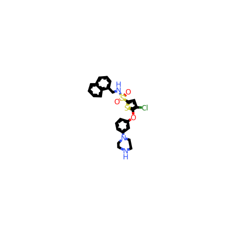 O=S(=O)(NCc1cccc2ccccc12)c1cc(Cl)c(Oc2cccc(N3CCNCC3)c2)s1